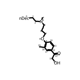 CCCCCCCCCCCCN(C)CCCOc1ccc(C(=O)CO)cc1C